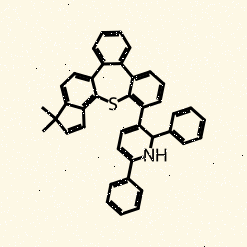 CC1(C)C=Cc2c1ccc1c2Sc2c(C3=CC=C(c4ccccc4)NC3c3ccccc3)cccc2-c2ccccc2-1